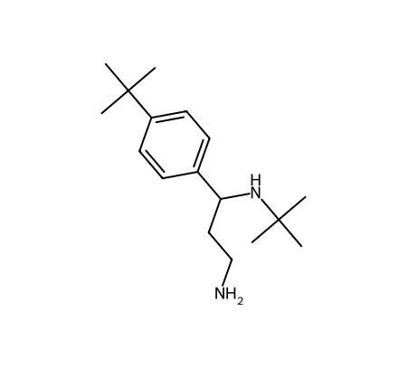 CC(C)(C)NC(CCN)c1ccc(C(C)(C)C)cc1